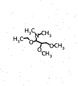 CCOC(C(COC)OC)N(C)C